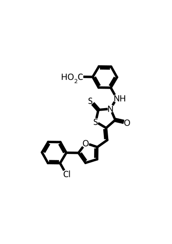 O=C(O)c1cccc(NN2C(=O)C(=Cc3ccc(-c4ccccc4Cl)o3)SC2=S)c1